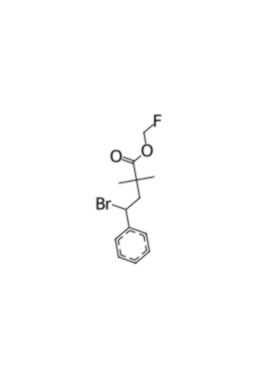 CC(C)(CC(Br)c1ccccc1)C(=O)OCF